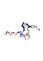 CCOCN(C)CC1CCN1CC(C)C